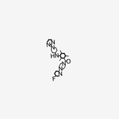 Cc1cc(C)c(C(=O)N2CCN(c3ccc(F)cn3)CC2)c(C)c1NC1CCN(c2ncccn2)CC1